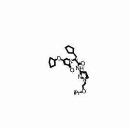 CC(C)OCCn1ccc(NC(=O)[C@H](CC2CCCC2)N2CC(OC3CCCC3)=CC2=O)n1